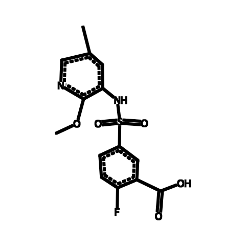 COc1ncc(C)cc1NS(=O)(=O)c1ccc(F)c(C(=O)O)c1